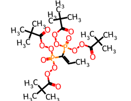 CC=C(P(=O)(OOC(=O)C(C)(C)C)OOC(=O)C(C)(C)C)P(=O)(OOC(=O)C(C)(C)C)OOC(=O)C(C)(C)C